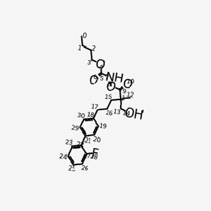 CCCCOC(=O)NOC(=O)C(C)(CO)CCCc1ccc(-c2ccccc2F)cc1